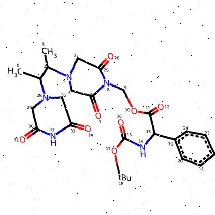 CC(C(C)N1CC(=O)N(COC(=O)C(NC(=O)OC(C)(C)C)c2ccccc2)C(=O)C1)N1CC(=O)NC(=O)C1